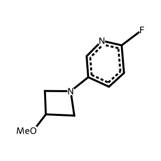 COC1CN(c2ccc(F)nc2)C1